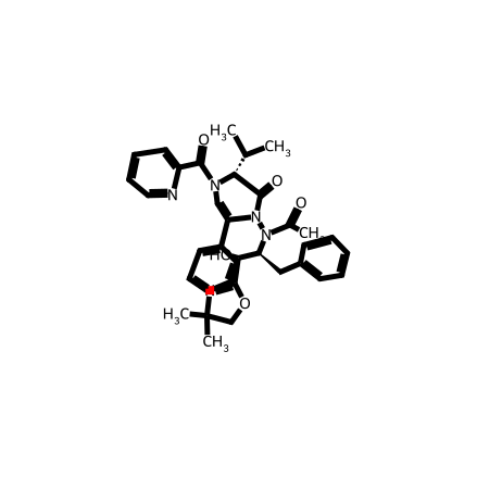 CC(=O)N([C@@H](Cc1ccccc1)C(O)C1=NC(C)(C)CO1)N1C(=O)[C@@H](C(C)C)N(C(=O)c2ccccn2)C=C1c1ccccc1